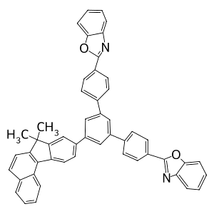 CC1(C)c2cc(-c3cc(-c4ccc(-c5nc6ccccc6o5)cc4)cc(-c4ccc(-c5nc6ccccc6o5)cc4)c3)ccc2-c2c1ccc1ccccc21